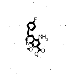 COC(=O)c1cc(N)c2cc(Cc3ccc(F)cc3)cnc2c1OC